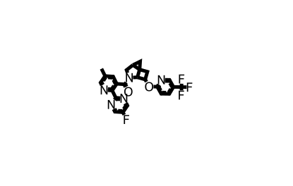 Cc1cnc(-c2ncc(F)cn2)c(C(=O)N2CC3CC34CC(Oc3ccc(C(F)(F)F)cn3)C24)c1